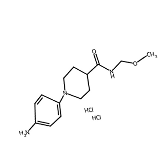 COCNC(=O)C1CCN(c2ccc(N)cc2)CC1.Cl.Cl